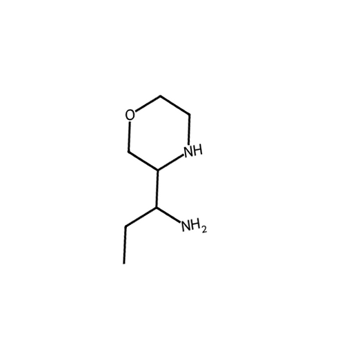 CCC(N)C1COCCN1